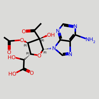 CC(=O)O[C@@H]1[C@@H](C(O)C(=O)O)O[C@@H](n2cnc3c(N)ncnc32)[C@@]1(O)C(C)=O